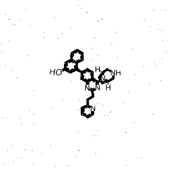 Oc1cc(-c2ccc3c(N4[C@@H]5CC[C@H]4CNC5)nc(CCc4ccccn4)nc3c2)c2ccccc2c1